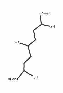 CCCCCC(S)CCC(S)CCC(S)CCCCC